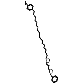 Ic1ccc(CCCCCCCCCCCCCCCCCCOCCCOCc2ccccc2)cc1